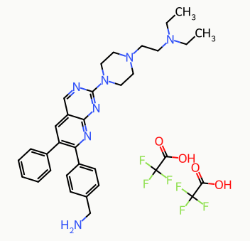 CCN(CC)CCN1CCN(c2ncc3cc(-c4ccccc4)c(-c4ccc(CN)cc4)nc3n2)CC1.O=C(O)C(F)(F)F.O=C(O)C(F)(F)F